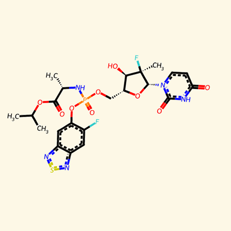 CC(C)OC(=O)[C@H](C)NP(=O)(OC[C@H]1O[C@@H](n2ccc(=O)[nH]c2=O)[C@](C)(F)[C@@H]1O)Oc1cc2nsnc2cc1F